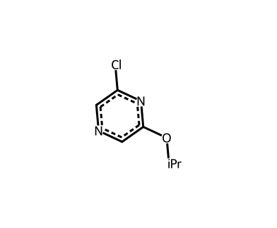 CC(C)Oc1cncc(Cl)n1